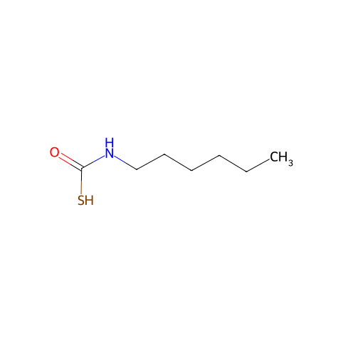 CCCCCCNC(=O)S